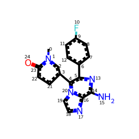 Cn1cc(-c2c(-c3ccc(F)cc3)nc(N)c3nccn23)ccc1=O